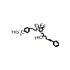 O=C(O)c1ccc(CCN2C(=O)C(F)(F)C[C@@H]2/C=C/[C@@H](O)CCC#Cc2ccccc2)cc1